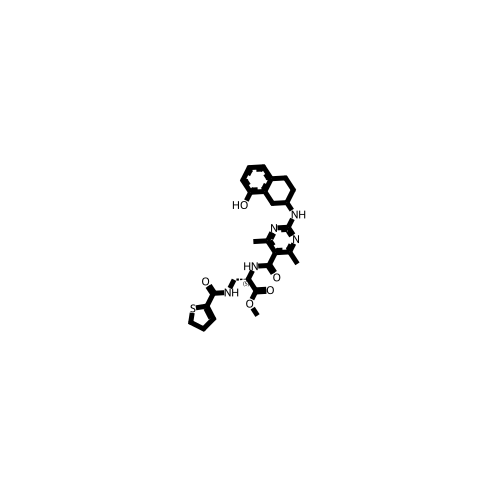 COC(=O)[C@H](CNC(=O)C1=CCCS1)NC(=O)c1c(C)nc(NC2CCc3cccc(O)c3C2)nc1C